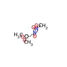 C=CC(=O)N1CCN(C(=O)CCc2ccc(OC)c(OC)c2)CC1=O